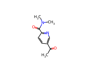 CC(=O)c1ccc(C(=O)N(C)C)nc1